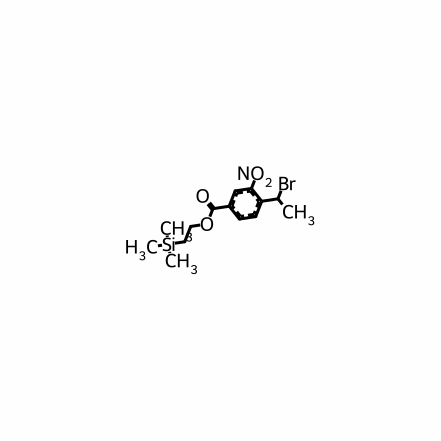 CC(Br)c1ccc(C(=O)OCC[Si](C)(C)C)cc1[N+](=O)[O-]